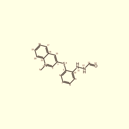 C[n+]1cc(Sc2ccccc2NNC=O)cc2ccccc21